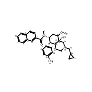 COC1C[C@@H](N(C)C(=O)c2ccc3ccccc3c2)C[C@]2(c3cccc(O)c3)CCN(CC3CC3)C[C@@H]12